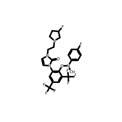 CN(Oc1c(-n2ccn(CCN3CCC(F)C3)c2=O)cc(C(F)(F)F)cc1C(F)(F)F)c1ccc(F)cc1